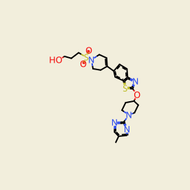 Cc1cnc(N2CCC(Oc3nc4ccc(C5=CCN(S(=O)(=O)CCCO)CC5)cc4s3)CC2)nc1